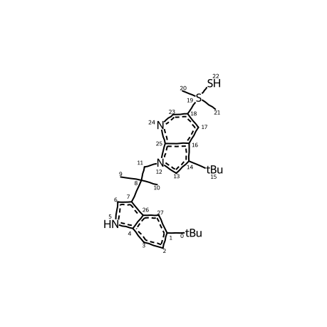 CC(C)(C)c1ccc2[nH]cc(C(C)(C)Cn3cc(C(C)(C)C)c4cc(S(C)(C)S)cnc43)c2c1